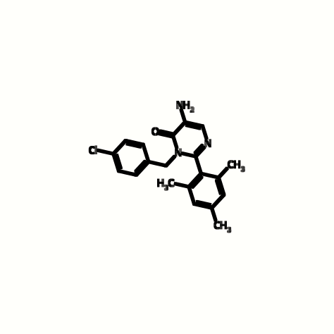 Cc1cc(C)c(-c2ncc(N)c(=O)n2Cc2ccc(Cl)cc2)c(C)c1